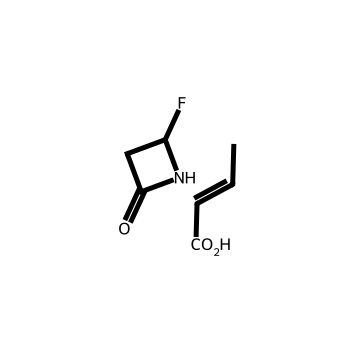 C/C=C/C(=O)O.O=C1CC(F)N1